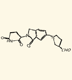 O=CC1CCN(c2ccc3c(c2)C(=O)N(C2CCC(=O)NC2=O)C3)C1